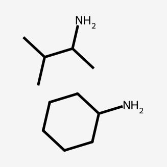 CC(C)C(C)N.NC1CCCCC1